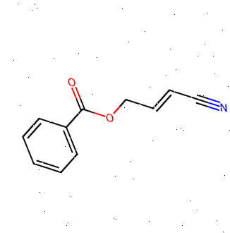 N#C/C=C/COC(=O)c1ccccc1